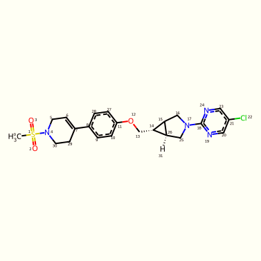 CS(=O)(=O)N1CC=C(c2ccc(OC[C@@H]3C4CN(c5ncc(Cl)cn5)C[C@H]43)cc2)CC1